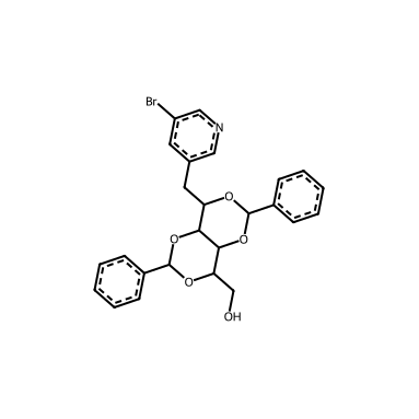 OCC1OC(c2ccccc2)OC2C(Cc3cncc(Br)c3)OC(c3ccccc3)OC12